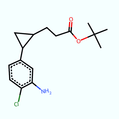 CC(C)(C)OC(=O)CCC1CC1c1ccc(Cl)c(N)c1